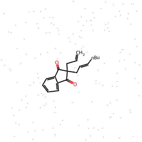 C=CCC1(CC=CCCCC)C(=O)c2ccccc2C1=O